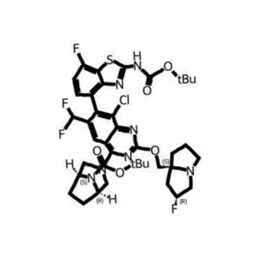 CC(C)(C)OC(=O)Nc1nc2c(-c3c(C(F)F)cc4c(N5C[C@H]6CC[C@@H](C5)N6C(=O)OC(C)(C)C)nc(OC[C@@]56CCCN5C[C@H](F)C6)nc4c3Cl)ccc(F)c2s1